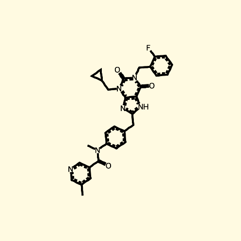 Cc1cncc(C(=O)N(C)c2ccc(Cc3nc4c([nH]3)c(=O)n(Cc3ccccc3F)c(=O)n4CC3CC3)cc2)c1